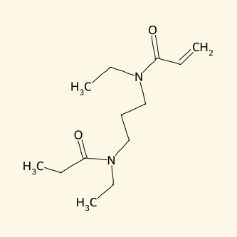 C=CC(=O)N(CC)CCCN(CC)C(=O)CC